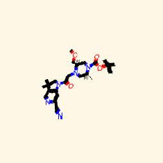 COC[C@H]1CN(C(=O)OC(C)(C)C)[C@H](C)CN1CC(=O)N1CC(C)(C)c2cnc(C#N)cc21